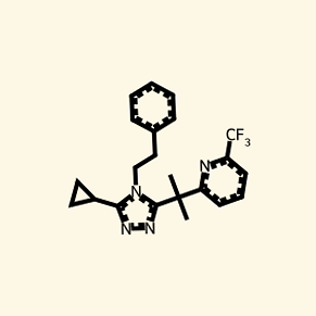 CC(C)(c1cccc(C(F)(F)F)n1)c1nnc(C2CC2)n1CCc1ccccc1